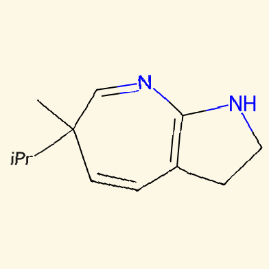 CC(C)C1(C)C=CC2=C(N=C1)NCC2